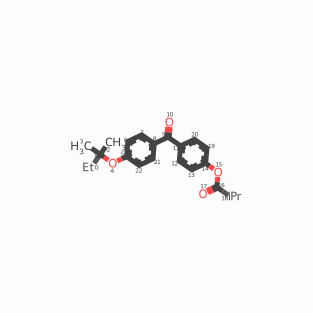 CCC(C)(C)Oc1ccc(C(=O)c2ccc(OC(=O)C(C)C)cc2)cc1